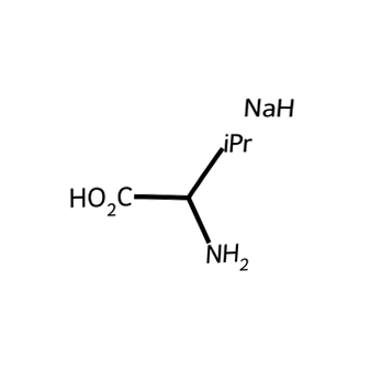 CC(C)C(N)C(=O)O.[NaH]